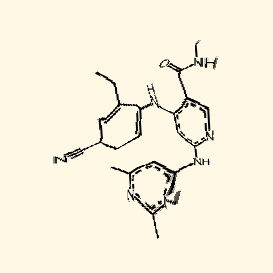 CCC1=CC(C#N)CC=C1Nc1cc(Nc2cc(C)nc(C)n2)ncc1C(=O)NC